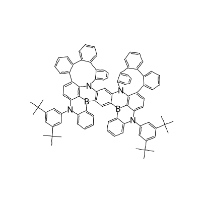 CC(C)(C)c1cc(N2c3ccccc3B3c4cc5c(cc4-n4c6ccccc6c6ccccc6c6ccccc6c6ccc2c3c64)-n2c3ccccc3c3ccccc3c3ccccc3c3ccc4c(c32)B5c2ccccc2N4c2cc(C(C)(C)C)cc(C(C)(C)C)c2)cc(C(C)(C)C)c1